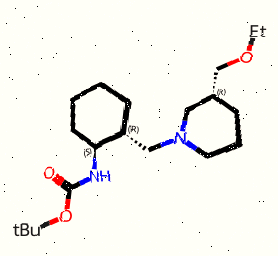 CCOC[C@@H]1CCCN(C[C@H]2CCCC[C@@H]2NC(=O)OC(C)(C)C)C1